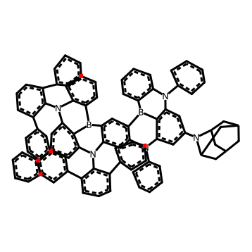 c1ccc(-c2cc3c4c(c2)N(c2c(-c5ccccc5)cccc2-c2ccccc2)c2cc5c(cc2B4c2ccccc2N3c2c(-c3ccccc3)cccc2-c2ccccc2)B2c3ccccc3N(c3ccccc3)c3cc(N4C6CC7CC(C6)CC4C7)cc(c32)N5c2ccccc2)cc1